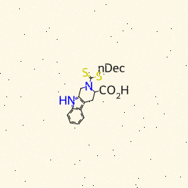 CCCCCCCCCCSC(=S)N1Cc2[nH]c3ccccc3c2CC1C(=O)O